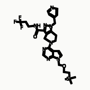 C[Si](C)(C)CCOCn1ccc2c(N3CCc4c(c(C(=O)NCCC(F)(F)F)nn4Cc4ccncc4)C3)ncnc21